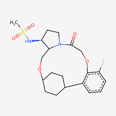 CS(=O)(=O)N[C@H]1CCN2C(=O)COc3c(F)cccc3C3CCC(CC3)OCC12